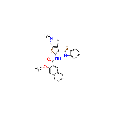 COc1cc2ccccc2cc1C(=O)Nc1sc2c(c1-c1nc3ccccc3s1)CCN(C)C2